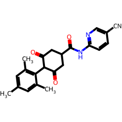 Cc1cc(C)c(C2C(=O)CC(C(=O)Nc3ccc(C#N)cn3)CC2=O)c(C)c1